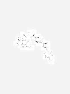 CC[C@H](C)[C@H](NC(=O)c1ccc(-c2csc(N3CCN(C)CC3)n2)cc1)C(=O)N1C[C@H](SC)[C@H]2OCC(=O)[C@H]21